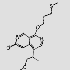 COCC(C)c1cnc(OCCCSC)c2cnc(Cl)cc12